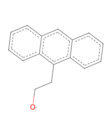 [O]CCc1c2ccccc2cc2ccccc12